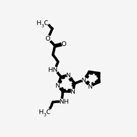 CCNc1nc(NCCC(=O)OCC)nc(-n2cccn2)n1